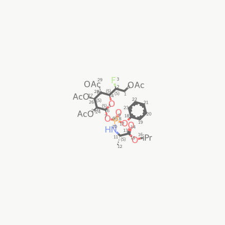 CC(=O)OC[C@H](F)[C@H]1O[C@@H](O[P@@](=O)(N[C@@H](C)C(=O)OC(C)C)Oc2ccccc2)[C@@H](OC(C)=O)[C@@H](OC(C)=O)[C@@H]1OC(C)=O